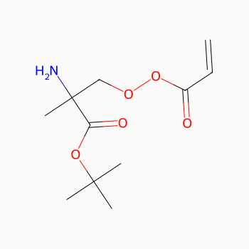 C=CC(=O)OOCC(C)(N)C(=O)OC(C)(C)C